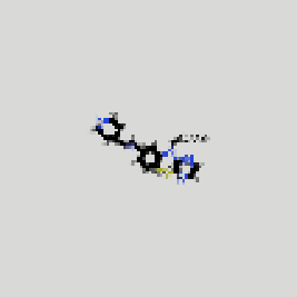 COCN1c2cc(/C=C/c3ccncc3)ccc2Sc2nccnc21